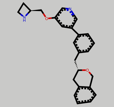 c1cc(C[C@H]2Cc3ccccc3CO2)cc(-c2cncc(OC[C@@H]3CCN3)c2)c1